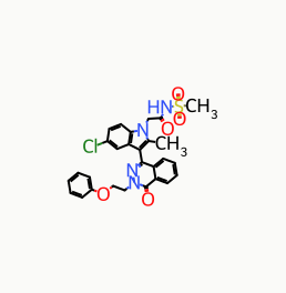 Cc1c(-c2nn(CCOc3ccccc3)c(=O)c3ccccc23)c2cc(Cl)ccc2n1CC(=O)NS(C)(=O)=O